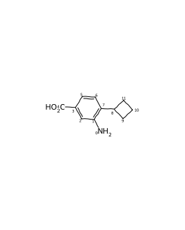 Nc1cc(C(=O)O)ccc1C1CCC1